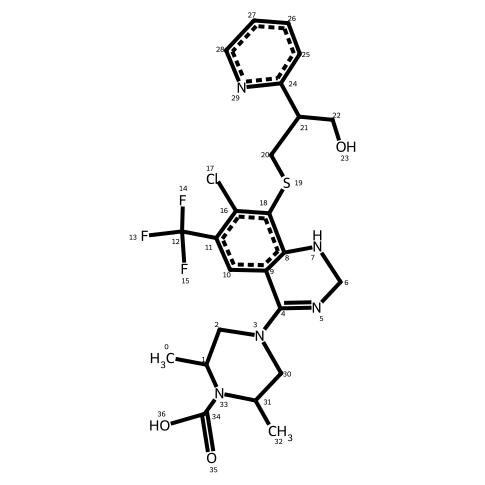 CC1CN(C2=NCNc3c2cc(C(F)(F)F)c(Cl)c3SCC(CO)c2ccccn2)CC(C)N1C(=O)O